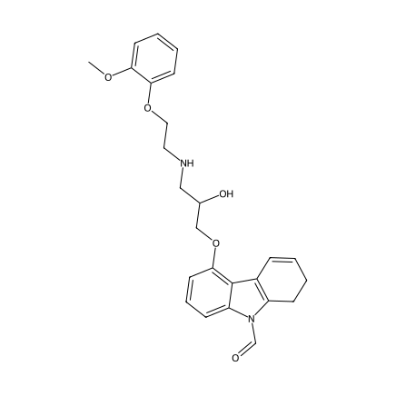 COc1ccccc1OCCNCC(O)COc1cccc2c1c1c(n2C=O)CCC=C1